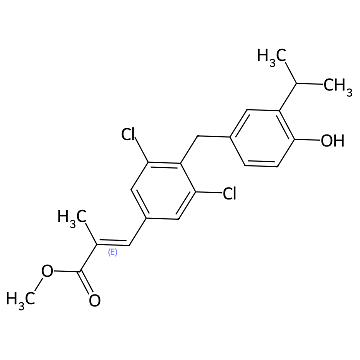 COC(=O)/C(C)=C/c1cc(Cl)c(Cc2ccc(O)c(C(C)C)c2)c(Cl)c1